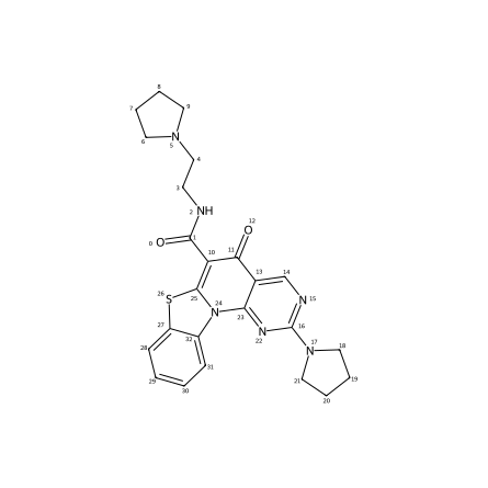 O=C(NCCN1CCCC1)c1c(=O)c2cnc(N3CCCC3)nc2n2c1sc1ccccc12